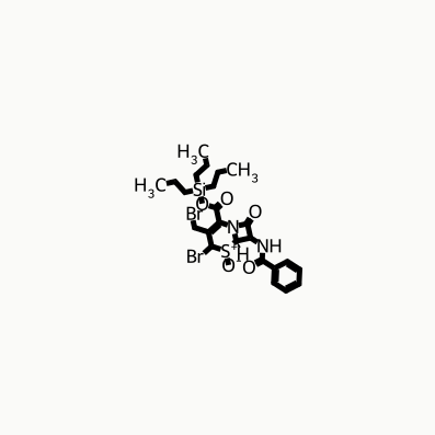 CCC[Si](CCC)(CCC)OC(=O)C1=C(CBr)C(Br)[S+]([O-])[C@@H]2C(NC(=O)c3ccccc3)C(=O)N12